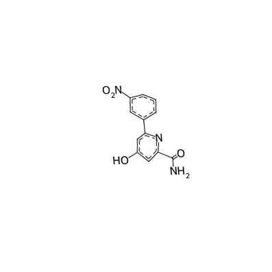 NC(=O)c1cc(O)cc(-c2cccc([N+](=O)[O-])c2)n1